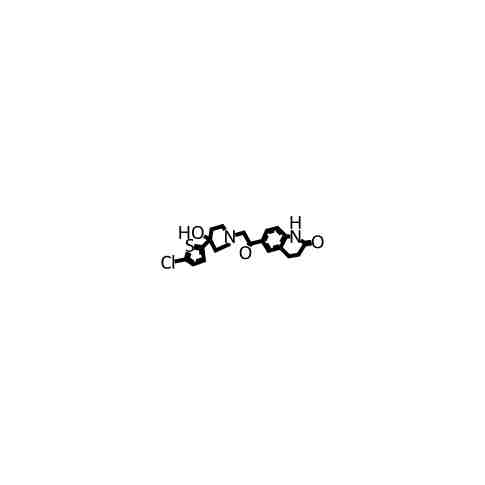 O=C1CCc2cc(C(=O)CN3CCC(O)(c4ccc(Cl)s4)CC3)ccc2N1